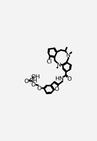 CC1Cc2cccc(Cl)c2CN(C)c2cc(C(=O)NCc3cc4cc(OCO[PH](=O)O)ccc4o3)ccc2CN1C